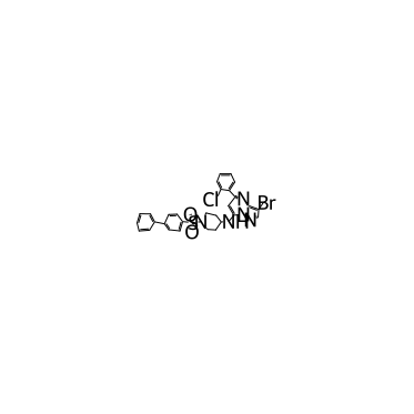 O=S(=O)(c1ccc(-c2ccccc2)cc1)N1CCC(Nc2cc(-c3ccccc3Cl)nc3c(Br)cnn23)CC1